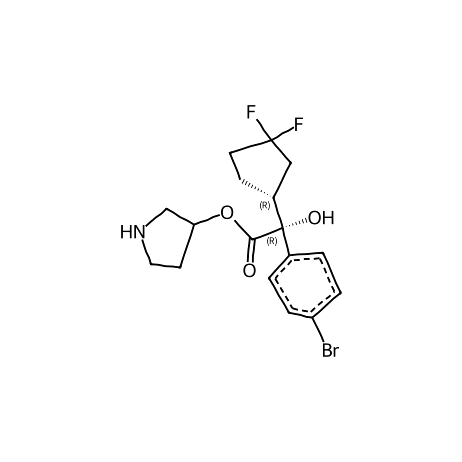 O=C(OC1CCNC1)[C@](O)(c1ccc(Br)cc1)[C@@H]1CCC(F)(F)C1